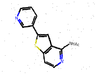 CC(=O)Nc1nccc2sc(-c3cccnc3)cc12